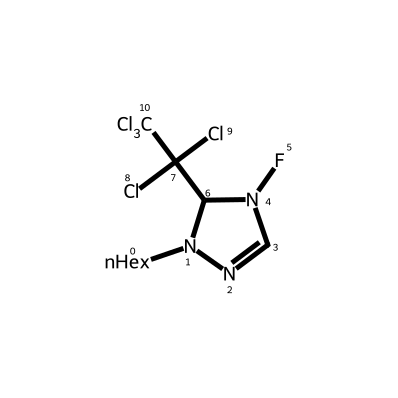 CCCCCCN1N=CN(F)C1C(Cl)(Cl)C(Cl)(Cl)Cl